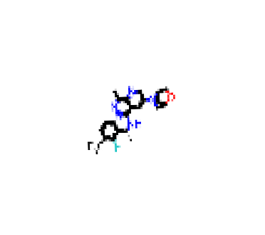 Cc1nnc(N[C@H](C)c2cccc(C(F)(F)F)c2F)c2cc(N3CC4CC3CO4)cnc12